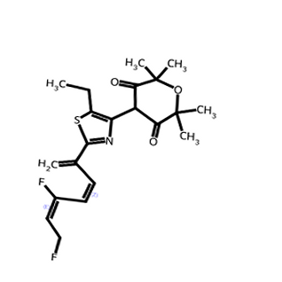 C=C(/C=C\C(F)=C/CF)c1nc(C2C(=O)C(C)(C)OC(C)(C)C2=O)c(CC)s1